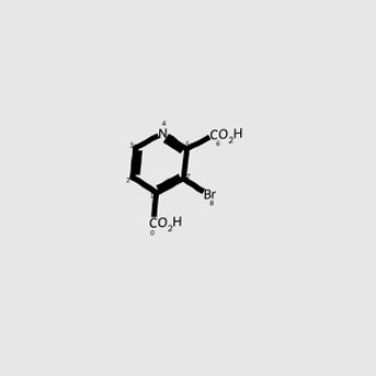 O=C(O)c1ccnc(C(=O)O)c1Br